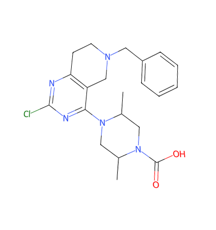 CC1CN(c2nc(Cl)nc3c2CN(Cc2ccccc2)CC3)C(C)CN1C(=O)O